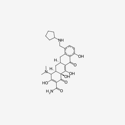 CN(C)C1C(O)=C(C(N)=O)C(=O)[C@@]2(O)C(O)=C3C(=O)c4c(O)ccc(CNC5CCCC5)c4C[C@@H]3C[C@H]12